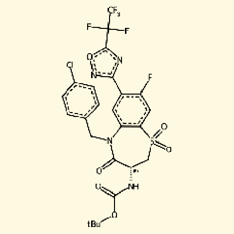 CC(C)(C)OC(=O)N[C@H]1CS(=O)(=O)c2cc(F)c(-c3noc(C(F)(F)C(F)(F)F)n3)cc2N(Cc2ccc(Cl)cc2)C1=O